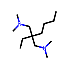 CCCCC(CC)(CN(C)C)CN(C)C